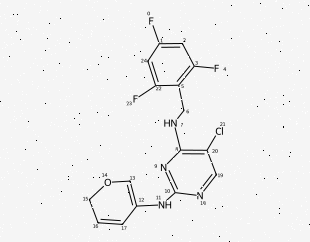 Fc1cc(F)c(CNc2nc(NC3=COCC=C3)ncc2Cl)c(F)c1